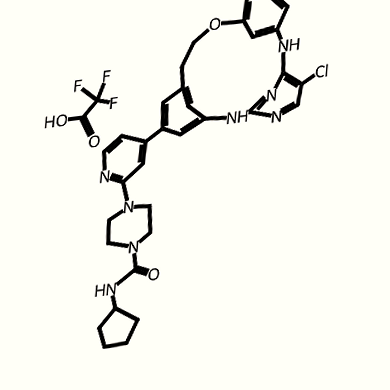 O=C(NC1CCCC1)N1CCN(c2cc(-c3cc4cc(c3)Nc3ncc(Cl)c(n3)Nc3cccc(c3)OCC4)ccn2)CC1.O=C(O)C(F)(F)F